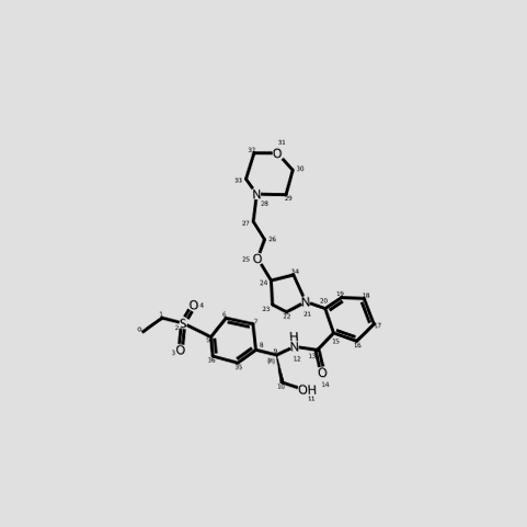 CCS(=O)(=O)c1ccc([C@H](CO)NC(=O)c2ccccc2N2CCC(OCCN3CCOCC3)C2)cc1